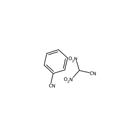 N#CC([N+](=O)[O-])[N+](=O)[O-].N#Cc1ccccc1